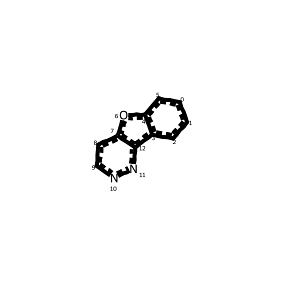 c1ccc2c(c1)oc1ccnnc12